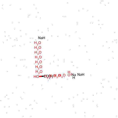 O.O.O.O.O.O.O.O.O.O.O.O.O=C(O)O.[NaH].[NaH].[NaH]